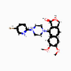 COc1cc2cc3c(c(N4CCN(c5ccc(Br)cn5)CC4)c2cc1OC)C(=O)OC3